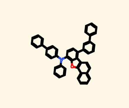 c1ccc(-c2ccc(N(c3ccccc3)c3ccc(-c4cccc(-c5ccccc5)c4)c4c3oc3c5ccccc5ccc34)cc2)cc1